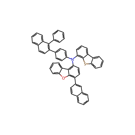 c1ccc(-c2c(-c3ccc(N(c4cccc5c4sc4ccccc45)c4ccc(-c5ccc6ccccc6c5)c5oc6ccccc6c45)cc3)ccc3ccccc23)cc1